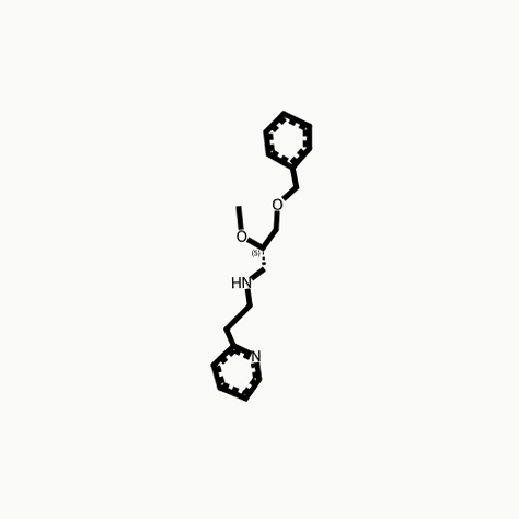 CO[C@@H](CNCCc1ccccn1)COCc1ccccc1